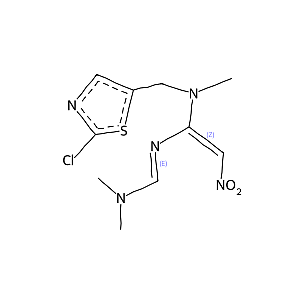 CN(C)/C=N/C(=C\[N+](=O)[O-])N(C)Cc1cnc(Cl)s1